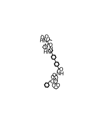 COC(=O)NC(C(=O)N1CCC[C@H]1c1ncc(-c2ccc(-c3ccc(C(=O)CNC(=O)CN(CC4(C)OCCCO4)C(=O)OCc4ccccc4)cc3)cc2)[nH]1)C(C)C